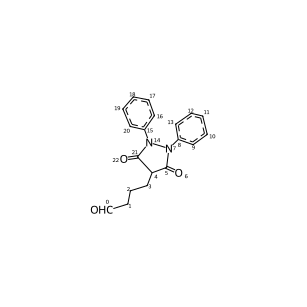 O=CCCCC1C(=O)N(c2ccccc2)N(c2ccccc2)C1=O